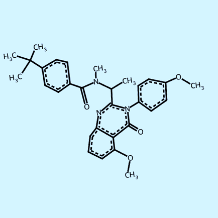 COc1ccc(-n2c(C(C)N(C)C(=O)c3ccc(C(C)(C)C)cc3)nc3cccc(OC)c3c2=O)cc1